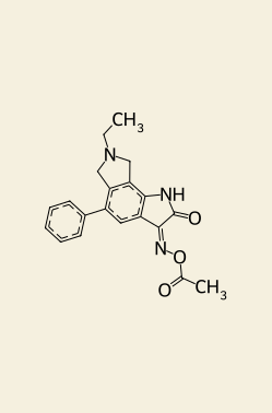 CCN1Cc2c(-c3ccccc3)cc3c(c2C1)NC(=O)C3=NOC(C)=O